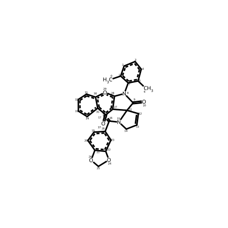 Cc1cccc(C)c1N1C(=O)C2(C=CCN2C(=O)c2ccc3c(c2)OCO3)c2c1oc1ccccc1c2=O